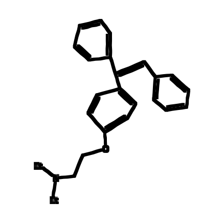 CCN(CC)CCOc1ccc(/C(=C\c2ccccc2)c2ccccc2)cc1